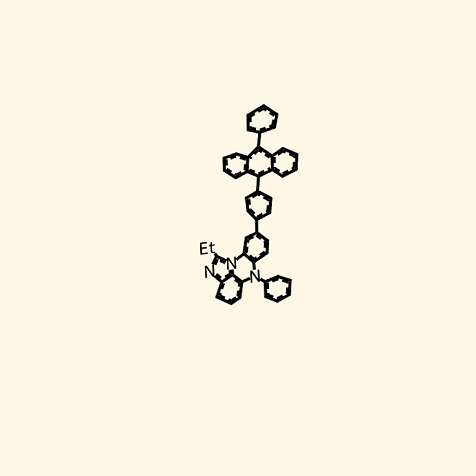 CCc1nc2cccc3c2n1-c1cc(-c2ccc(-c4c5ccccc5c(-c5ccccc5)c5ccccc45)cc2)ccc1N3c1ccccc1